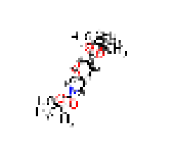 CC(C)(C)OC(=O)N1CCC2(CC=C(B3OC(C)(C)C(C)(C)O3)CO2)CC1